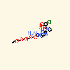 C#CCOCCOCCOCCOCCO[C@H]1CN(c2nc3cc([C@@H]4CCCCN4C(=O)c4cc(Cl)ccc4NS(C)(=O)=O)nn3cc2C)C[C@H]1N